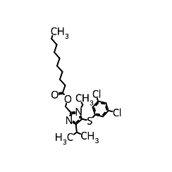 CCCCCCCCCC(=O)OCc1nc(C(C)C)c(Sc2cc(Cl)cc(Cl)c2)n1CC